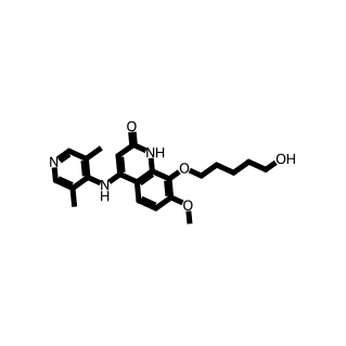 COc1ccc2c(Nc3c(C)cncc3C)cc(=O)[nH]c2c1OCCCCCO